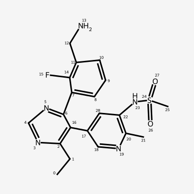 CCc1ncnc(-c2cccc(CN)c2F)c1-c1cnc(C)c(NS(C)(=O)=O)c1